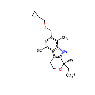 CCCC1(CC(=O)O)OCCc2c1[nH]c1c(C)c(COCC3CC3)cc(C#N)c21